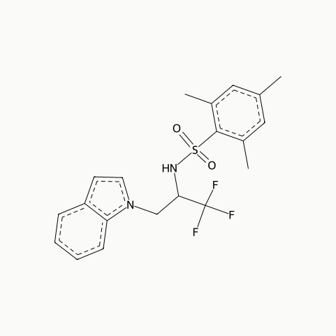 Cc1cc(C)c(S(=O)(=O)NC(Cn2ccc3ccccc32)C(F)(F)F)c(C)c1